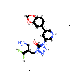 NCC(Cn1nnn(-c2cncc(-c3ccc4c(c3)OCO4)c2)c1=O)=C(F)F